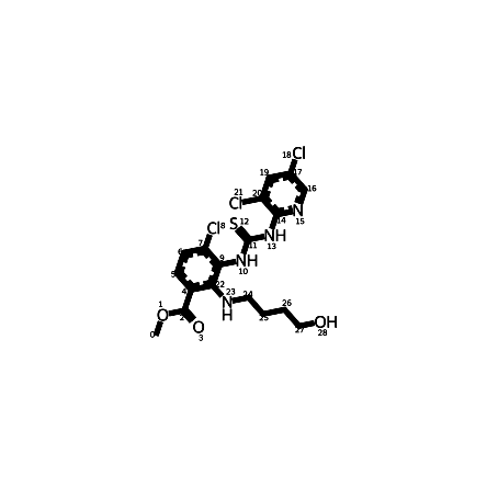 COC(=O)c1ccc(Cl)c(NC(=S)Nc2ncc(Cl)cc2Cl)c1NCCCCO